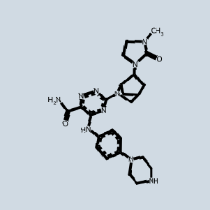 CN1CCN(C2CC3CC2N(c2nnc(C(N)=O)c(Nc4ccc(N5CCNCC5)cc4)n2)C3)C1=O